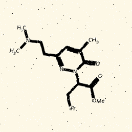 COC(=O)C(CC(C)C)n1nc(CCN(C)C)cc(C)c1=O